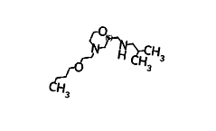 CCCCOCCN1CCO[C@@H](CNCC(C)C)C1